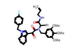 C=CCNC(=O)C(C(C)C)N(Cc1cc(OC)c(OC)c(OC)c1)C(=O)C(=O)c1cn(Cc2ccc(F)cc2)c2ccccc12